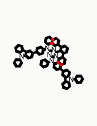 c1ccc(-c2cccc(-c3ccccc3)c2-c2nc(N(c3ccccc3)c3ccc(-c4ccc5c(c4)c4ccccc4n5-c4ccccc4)cc3)nc(N(c3ccccc3)c3ccc(-c4ccc5c(c4)c4ccccc4n5-c4ccccc4)cc3)n2)cc1